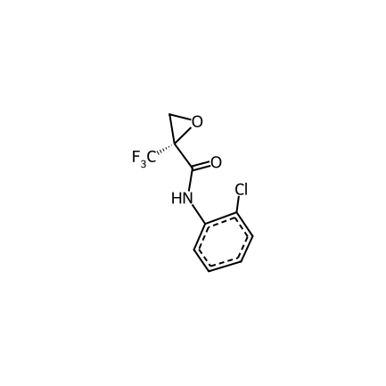 O=C(Nc1ccccc1Cl)[C@@]1(C(F)(F)F)CO1